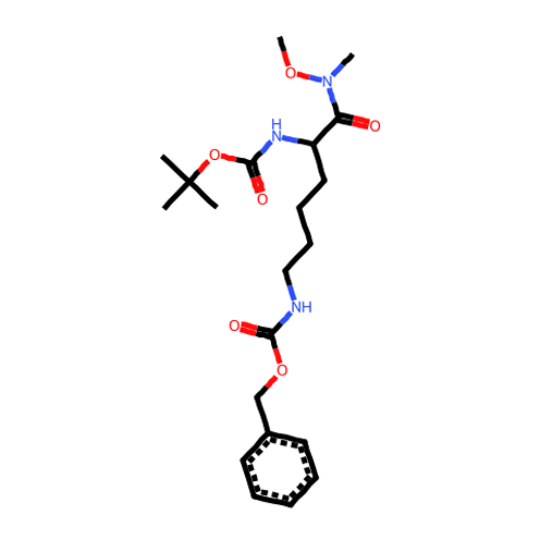 CON(C)C(=O)C(CCCCNC(=O)OCc1ccccc1)NC(=O)OC(C)(C)C